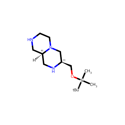 CC(C)(C)[Si](C)(C)OC[C@@H]1CN2CCNC[C@@H]2CN1